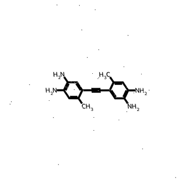 Cc1cc(N)c(N)cc1C#Cc1cc(N)c(N)cc1C